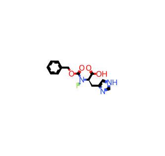 O=C(O)[C@@H](Cc1c[nH]cn1)N(F)C(=O)OCc1ccccc1